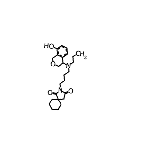 CCCN(CCCCN1C(=O)CC2(CCCCC2)C1=O)C1COCc2c(O)cccc21